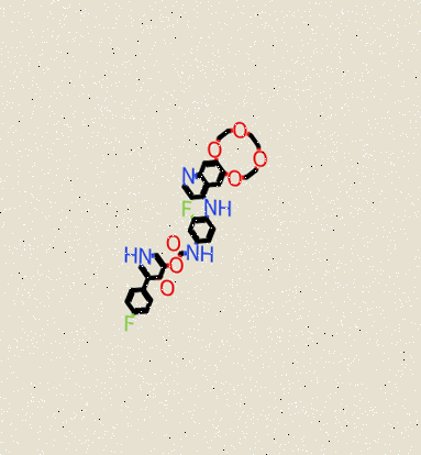 O=C(Nc1ccc(Nc2ccnc3cc4c(cc23)OCCOCCOCCO4)c(F)c1)Oc1c[nH]cc(-c2ccc(F)cc2)c1=O